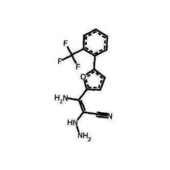 N#C/C(NN)=C(/N)c1ccc(-c2ccccc2C(F)(F)F)o1